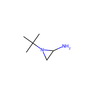 CC(C)(C)N1CC1N